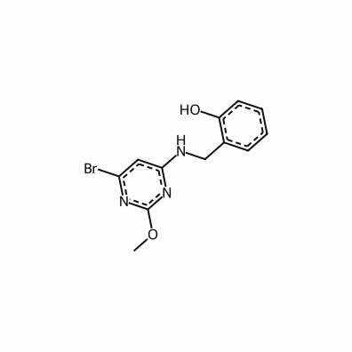 COc1nc(Br)cc(NCc2ccccc2O)n1